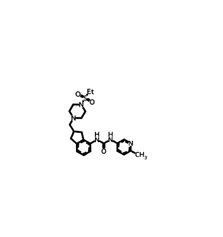 CCS(=O)(=O)N1CCN(CC2Cc3cccc(NC(=O)Nc4ccc(C)nc4)c3C2)CC1